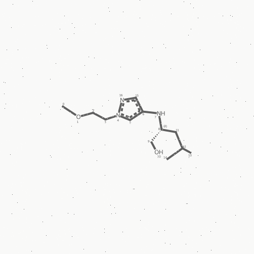 COCCn1cc(N[C@@H](CO)CC(C)C)cn1